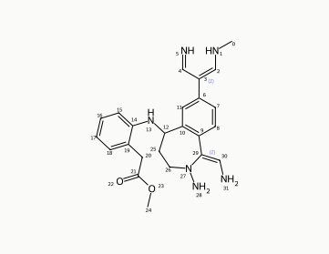 CN/C=C(\C=N)c1ccc2c(c1)C(Nc1ccccc1CC(=O)OC)CCN(N)/C2=C\N